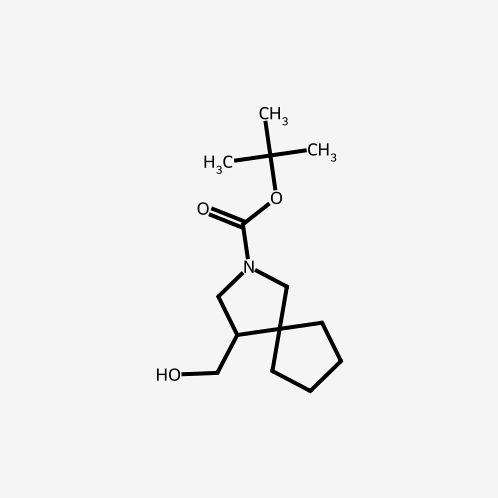 CC(C)(C)OC(=O)N1CC(CO)C2(CCCC2)C1